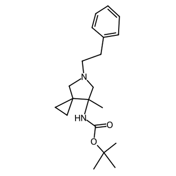 CC(C)(C)OC(=O)NC1(C)CN(CCc2ccccc2)CC12CC2